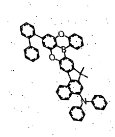 CC1(C)c2cc3c(cc2-c2c1cc(N(c1ccccc1)c1ccccc1)c1ccccc21)Oc1cc(-c2ccccc2-c2ccccc2)cc2c1B3c1ccccc1O2